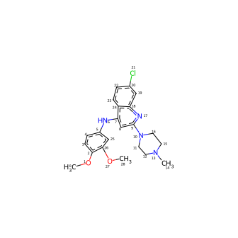 COc1ccc(Nc2cc(N3CCN(C)CC3)nc3cc(Cl)ccc23)cc1OC